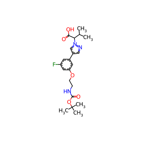 CC(C)C(C(=O)O)n1cc(-c2cc(F)cc(OCCNC(=O)OC(C)(C)C)c2)cn1